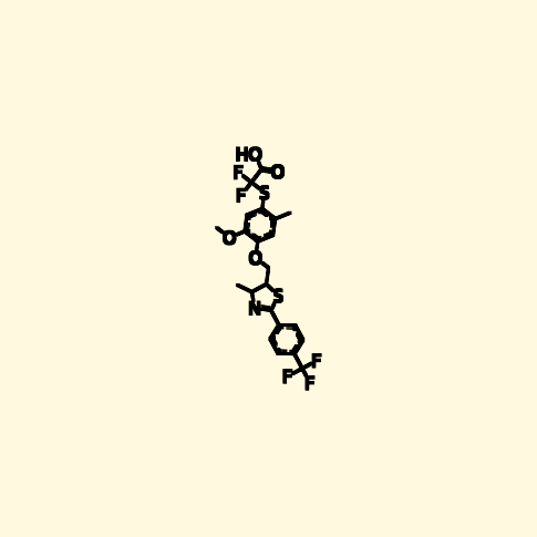 COc1cc(SC(F)(F)C(=O)O)c(C)cc1OCC1SC(c2ccc(C(F)(F)F)cc2)=NC1C